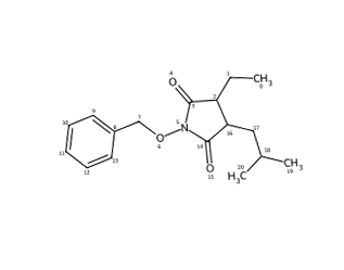 CCC1C(=O)N(OCc2ccccc2)C(=O)C1CC(C)C